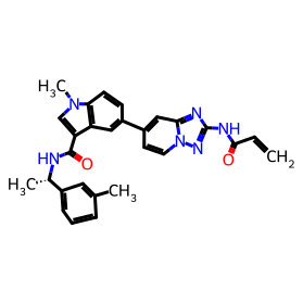 C=CC(=O)Nc1nc2cc(-c3ccc4c(c3)c(C(=O)N[C@@H](C)c3cccc(C)c3)cn4C)ccn2n1